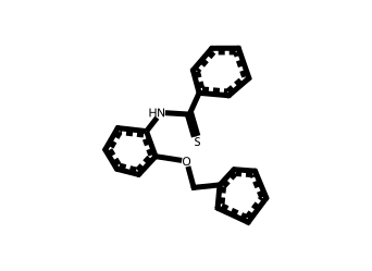 S=C(Nc1ccccc1OCc1ccccc1)c1ccccc1